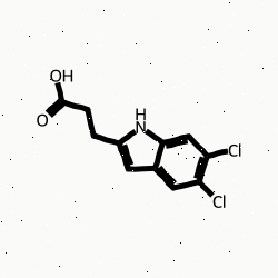 O=C(O)CCc1cc2cc(Cl)c(Cl)cc2[nH]1